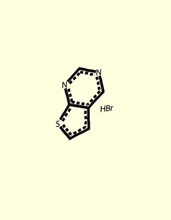 Br.c1ncc2ccsc2n1